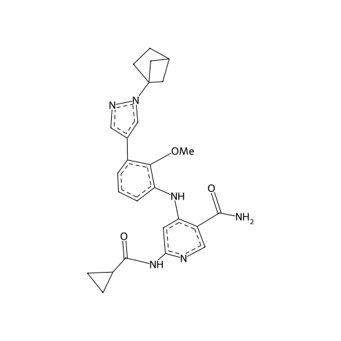 COc1c(Nc2cc(NC(=O)C3CC3)ncc2C(N)=O)cccc1-c1cnn(C23CCC(C2)C3)c1